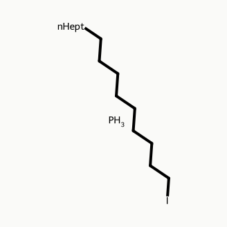 CCCCCCCCCCCCCCCCI.P